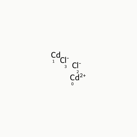 [Cd+2].[Cd].[Cl-].[Cl-]